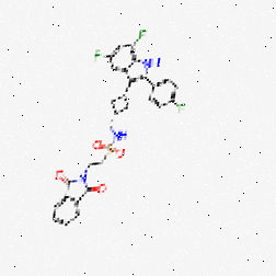 O=C1c2ccccc2C(=O)N1CCS(=O)(=O)NC[C@H]1C[C@H](c2c(-c3ccc(F)cc3)[nH]c3c(F)cc(F)cc32)C1